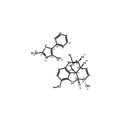 COc1ccc2c3c1O[C@H]1[C@@H](O)C=C[C@H]4[C@@H](C2)N(C)CC[C@@]341.Nc1nc(N)c(-c2ccccc2)s1